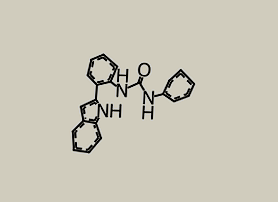 O=C(Nc1ccccc1)Nc1ccccc1-c1cc2ccccc2[nH]1